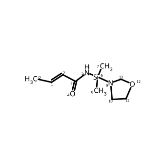 CC=CC(=O)N[Si](C)(C)N1CCOC1